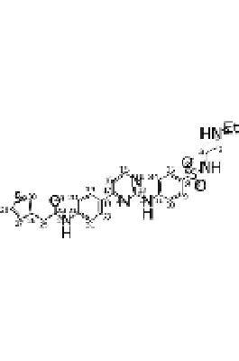 CCNCCNS(=O)(=O)c1ccc(Nc2nccc(-c3ccc(NC(=O)Cc4ccsc4)cc3)n2)cc1